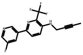 CC#CCNc1ccc(-c2cncc(F)c2)nc1C(F)(F)F